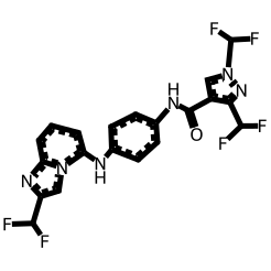 O=C(Nc1ccc(Nc2cccc3nc(C(F)F)cn23)cc1)c1cn(C(F)F)nc1C(F)F